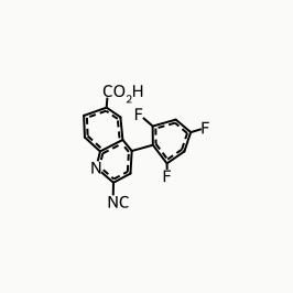 [C-]#[N+]c1cc(-c2c(F)cc(F)cc2F)c2cc(C(=O)O)ccc2n1